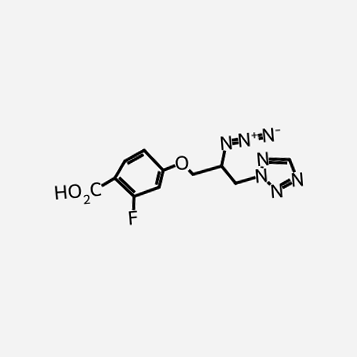 [N-]=[N+]=NC(COc1ccc(C(=O)O)c(F)c1)Cn1ncnn1